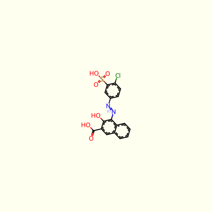 O=C(O)c1cc2ccccc2c(/N=N/c2ccc(Cl)c(S(=O)(=O)O)c2)c1O